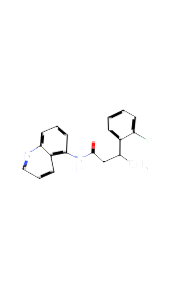 CC(CC(=O)Nc1cccc2ncccc12)c1ccccc1Cl